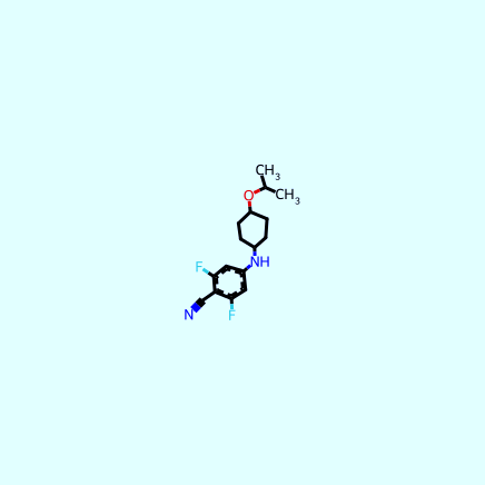 CC(C)OC1CCC(Nc2cc(F)c(C#N)c(F)c2)CC1